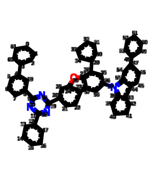 c1ccc(-c2cccc(-c3nc(-c4ccccc4)nc(-c4ccc5c(c4)oc4c(-c6ccccc6)cc(-n6c7ccccc7c7ccc(-c8ccccc8)cc76)cc45)n3)c2)cc1